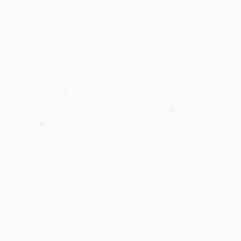 Nc1cc(-c2cccc(CN3CCOCC3)c2)ccc1[N+](=O)[O-]